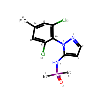 CCP(=O)(CC)Nc1ccnn1-c1c(Cl)cc(C(F)(F)F)cc1Cl